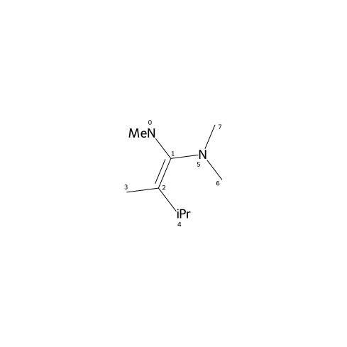 CNC(=C(C)C(C)C)N(C)C